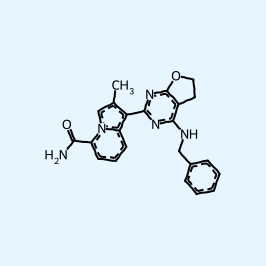 Cc1cn2c(C(N)=O)cccc2c1-c1nc(NCc2ccccc2)c2c(n1)OCC2